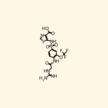 N=C(N)NCC(=O)Nc1ccc(S(=O)(=O)Nc2scnc2C(=O)O)cc1OC(F)(F)F